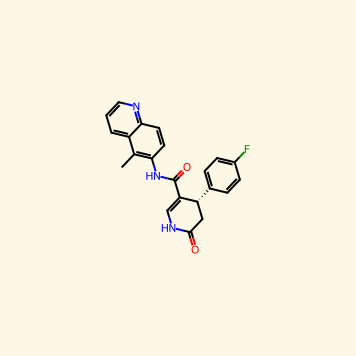 Cc1c(NC(=O)C2=CNC(=O)C[C@H]2c2ccc(F)cc2)ccc2ncccc12